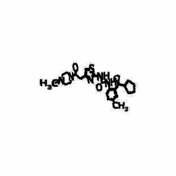 Cc1ccc(NC(=O)Nc2nc(CC(=O)N3CCN(C)CC3)cs2)c(C(=O)C2CCCC2)c1